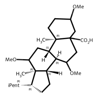 CCC[C@@H](C)[C@H]1CC[C@H]2[C@@H]3C(OC)CC4(C(=O)O)CC(OC)CC[C@]4(C)[C@H]3CC(OC)[C@]12C